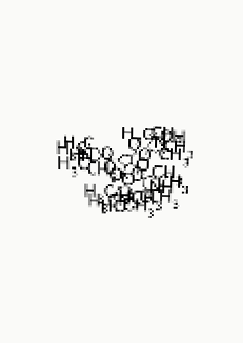 CC1(C)CC(OC(=O)C2CC(C(=O)OC3CC(C)(C)N(O)C(C)(C)C3)C(C(=O)OC3CC(C)(C)NC(C)(C)C3)C2C(=O)OC2CC(C)(C)N(O)C(C)(C)C2)CC(C)(C)N1